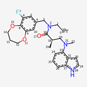 CC(C)CN(Cc1cc(F)c2c(c1)OCCCO2)C(=O)[C@H](C)CN(C)c1cccc2[nH]ccc12